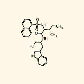 CC[C@H](C)[C@H](NS(=O)(=O)c1cccc2ccccc12)C(=O)N[C@H](CO)Cc1c[nH]c2ccccc12